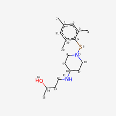 Cc1cc(C)c(SN2CCC(NCCC(C)O)CC2)c(C)c1